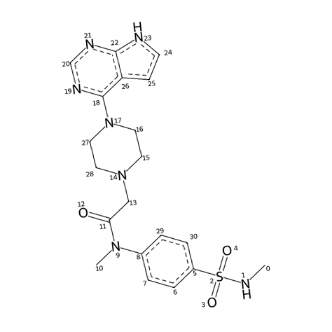 CNS(=O)(=O)c1ccc(N(C)C(=O)CN2CCN(c3ncnc4[nH]ccc34)CC2)cc1